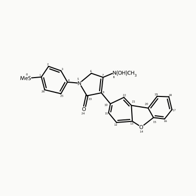 CSc1ccc(N2CC(N(C)O)=C(c3ccc4oc5ccccc5c4c3)C2=O)cc1